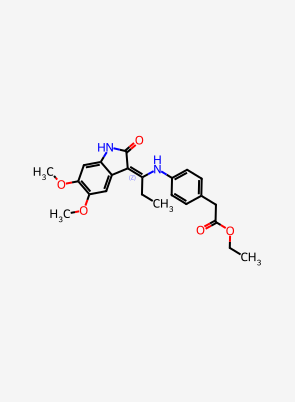 CCOC(=O)Cc1ccc(N/C(CC)=C2\C(=O)Nc3cc(OC)c(OC)cc32)cc1